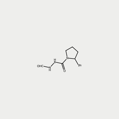 CC(C)C1CCCN1C(=O)BNC=O